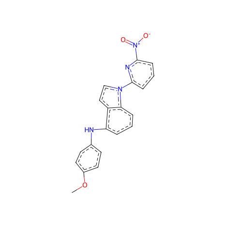 COc1ccc(Nc2cccc3c2ccn3-c2cccc([N+](=O)[O-])n2)cc1